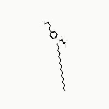 CCCCCCCCCCCCCCCCN(C(=O)C(F)(F)F)c1ccc(CCC(=O)Cl)cc1